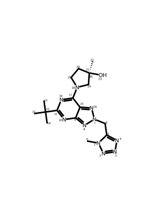 Cn1nnnc1Cn1nc2nc(C(C)(C)C)nc(N3CC[C@@](C)(O)C3)c2n1